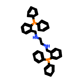 c1ccc(P(c2ccccc2)c2ccccc2CNCCNCc2ccccc2P(c2ccccc2)c2ccccc2)cc1